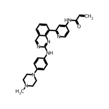 C=CC(=O)Nc1ccnc(-c2cccc3cnc(Nc4ccc(N5CCN(C)CC5)cc4)nc23)c1